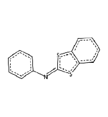 c1ccc(N=c2sc3ccccc3s2)cc1